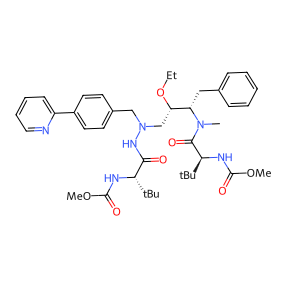 CCO[C@@H](CN(Cc1ccc(-c2ccccn2)cc1)NC(=O)[C@@H](NC(=O)OC)C(C)(C)C)[C@H](Cc1ccccc1)N(C)C(=O)[C@@H](NC(=O)OC)C(C)(C)C